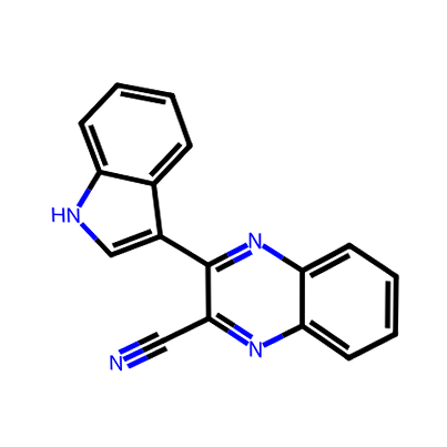 N#Cc1nc2ccccc2nc1-c1c[nH]c2ccccc12